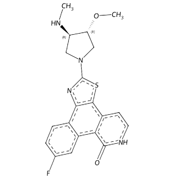 CN[C@@H]1CN(c2nc3c4ccc(F)cc4c4c(=O)[nH]ccc4c3s2)C[C@H]1OC